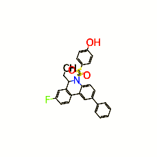 CCC1c2cc(F)ccc2-c2cc(-c3ccccc3)ccc2N1S(=O)(=O)c1ccc(O)cc1